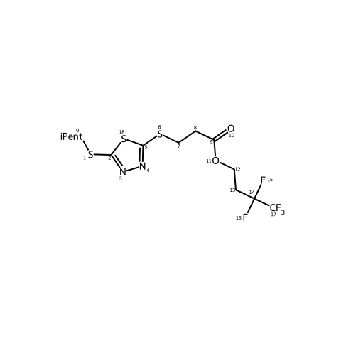 CCCC(C)Sc1nnc(SCCC(=O)OCCC(F)(F)C(F)(F)F)s1